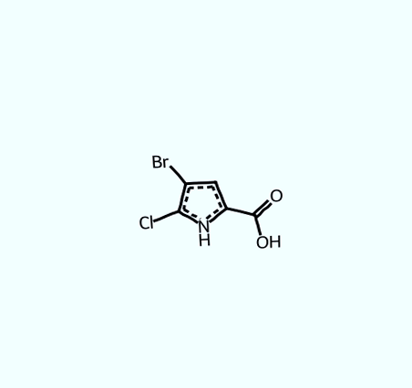 O=C(O)c1cc(Br)c(Cl)[nH]1